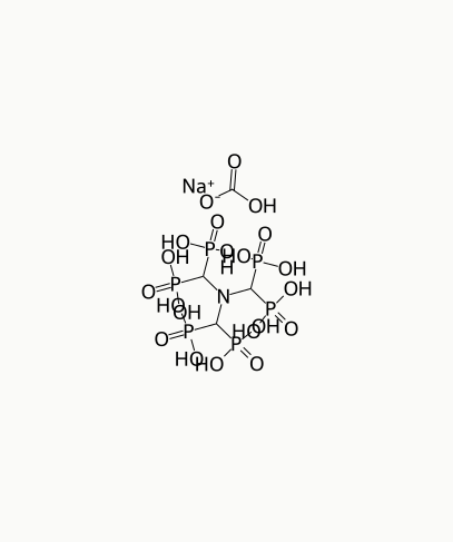 O=C([O-])O.O=P(O)(O)C(N(C(P(=O)(O)O)P(=O)(O)O)C(P(=O)(O)O)P(=O)(O)O)P(=O)(O)O.[Na+]